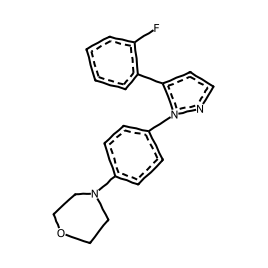 Fc1ccccc1-c1ccnn1-c1ccc(N2CCOCC2)cc1